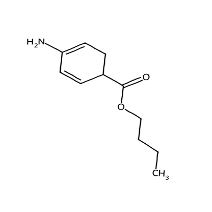 CCCCOC(=O)C1C=CC(N)=CC1